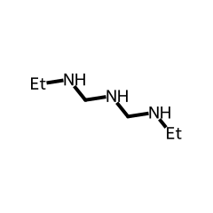 CCNCNCNCC